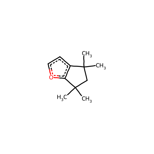 CC1(C)CC(C)(C)c2occc21